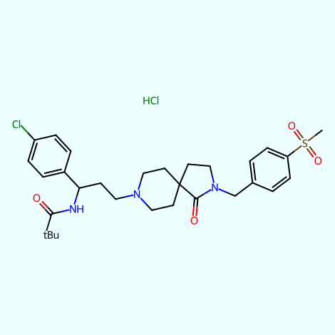 CC(C)(C)C(=O)NC(CCN1CCC2(CC1)CCN(Cc1ccc(S(C)(=O)=O)cc1)C2=O)c1ccc(Cl)cc1.Cl